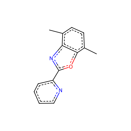 Cc1ccc(C)c2oc(-c3ccccn3)nc12